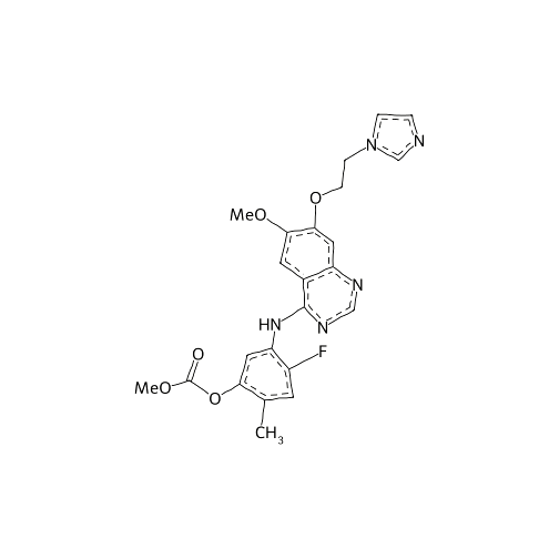 COC(=O)Oc1cc(Nc2ncnc3cc(OCCn4ccnc4)c(OC)cc23)c(F)cc1C